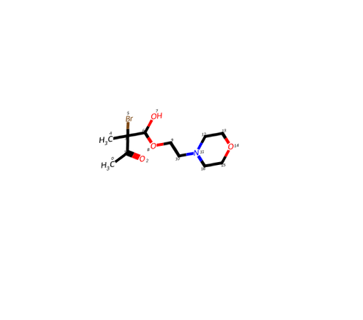 CC(=O)C(C)(Br)C(O)OCCN1CCOCC1